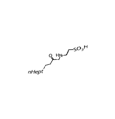 CCCCCCCCCC(=O)CNCCS(=O)(=O)O